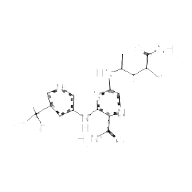 CC(CC(C)C(N)=O)Nc1cnc(C(N)=O)c(Nc2cncc(C(F)(F)F)c2)n1